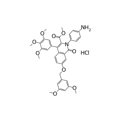 COC(=O)c1c(-c2cc(OC)c(OC)c(OC)c2)c2ccc(OCc3cc(OC)cc(OC)c3)cc2c(=O)n1-c1ccc(N)cc1.Cl